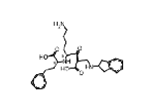 NCCCC[C@H](N[C@@H](CCc1ccccc1)C(=O)O)C(=O)C(CNC1Cc2ccccc2C1)C(=O)O